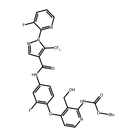 CC(C)(C)OC(=O)Nc1nccc(Oc2ccc(NC(=O)c3cnn(-c4ncccc4F)c3C(F)(F)F)cc2F)c1CO